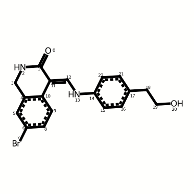 O=C1NCc2cc(Br)ccc2/C1=C\Nc1ccc(CCO)cc1